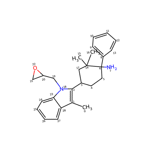 Cc1c(C2CCC(N)(c3ccccc3)C(C)(C)C2)n(CC2CO2)c2ccccc12